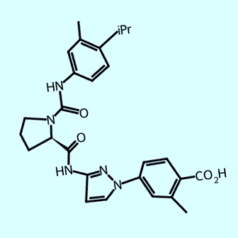 Cc1cc(-n2ccc(NC(=O)[C@H]3CCCN3C(=O)Nc3ccc(C(C)C)c(C)c3)n2)ccc1C(=O)O